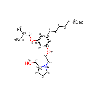 CCCCCCCCCCCCCCCc1cc(OCCN2CCC[C@H]2CO)cc(OCC(CC)CCCC)c1